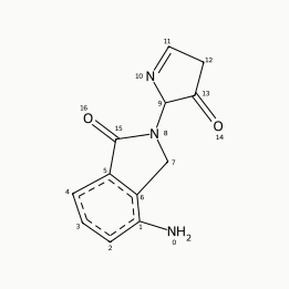 Nc1cccc2c1CN(C1N=CCC1=O)C2=O